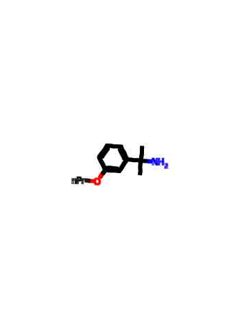 CCCOc1cccc(C(C)(C)N)c1